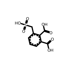 O=C(O)c1cccc(CS(=O)(=O)O)c1C(=O)O